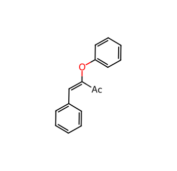 CC(=O)/C(=C\c1ccccc1)Oc1ccccc1